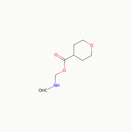 O=CNCOC(=O)C1CCOCC1